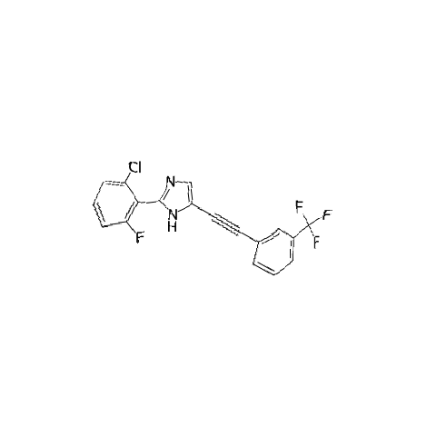 Fc1cccc(Cl)c1-c1ncc(C#Cc2cccc(C(F)(F)F)c2)[nH]1